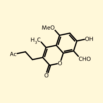 COc1cc(O)c(C=O)c2oc(=O)c(CCC(C)=O)c(C)c12